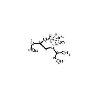 CCCCOC(C)COC(C)CO.O=C([O-])[O-].[Ca+2]